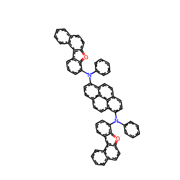 c1ccc(N(c2ccc3ccc4c(N(c5ccccc5)c5cccc6c5oc5ccc7ccccc7c56)ccc5ccc2c3c54)c2cccc3c2oc2ccc4ccccc4c23)cc1